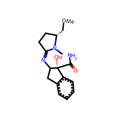 COC[C@H]1CCC(=NC2Cc3ccccc3[C@]2(O)C(N)=O)N1C